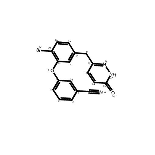 N#Cc1cccc(Oc2cc(Cc3ccc(=O)[nH]n3)ccc2Br)c1